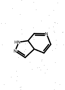 C1=CC2C=NNC2C=N1